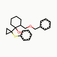 OC1(C2(Sc3ccccc3)CC2)CCCCC1COCc1ccccc1